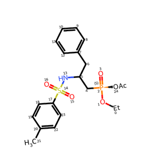 CCO[P@@](=O)(CC(Cc1ccccc1)NS(=O)(=O)c1ccc(C)cc1)OC(C)=O